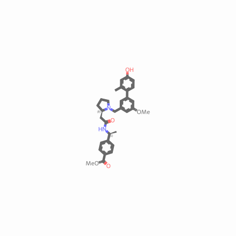 COC(=O)c1ccc([C@H](C)NC(=O)C[C@H]2CCCN2Cc2cc(OC)cc(-c3ccc(O)cc3C)c2)cc1